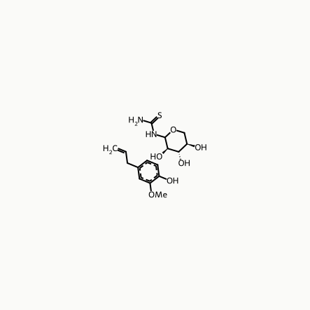 C=CCc1ccc(O)c(OC)c1.NC(=S)NC1OC[C@@H](O)[C@H](O)[C@H]1O